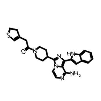 Nc1nccn2c(C3CCN(C(=O)CC4=CSCC4)CC3)nc(-c3cc4ccccc4[nH]3)c12